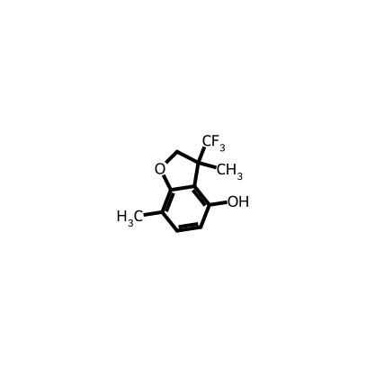 Cc1ccc(O)c2c1OCC2(C)C(F)(F)F